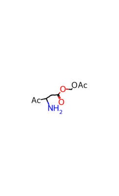 CC(=O)OCOC(=O)CC(N)C(C)=O